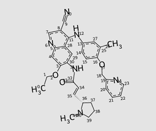 CCOc1cc2ncc(C#N)c(Nc3ccc(OCc4ccccn4)c(C)c3)c2cc1NC(=O)/C=C/[C@@H]1CCCN1C